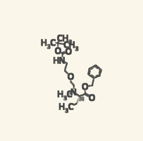 CC[C@@H](C(=O)OCc1ccccc1)N(C)CCOCCNC(=O)OC(C)(C)C